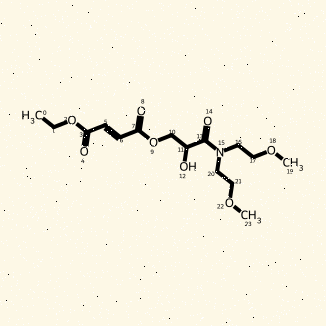 CCOC(=O)/C=C/C(=O)OCC(O)C(=O)N(CCOC)CCOC